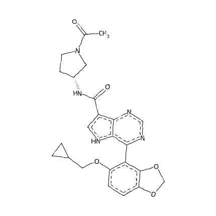 CC(=O)N1CC[C@@H](NC(=O)c2c[nH]c3c(-c4c(OCC5CC5)ccc5c4OCO5)ncnc23)C1